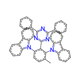 Cc1ccc(-n2c3ccccc3c3ccccc32)c(-c2nc(-c3ccccc3)nc(-c3ccccc3)n2)c1-n1c2ccccc2c2ccccc21